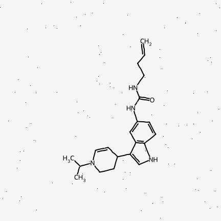 C=CCCNC(=O)Nc1ccc2[nH]cc(C3C=CN(C(C)C)CC3)c2c1